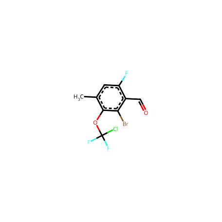 Cc1cc(F)c(C=O)c(Br)c1OC(F)(F)Cl